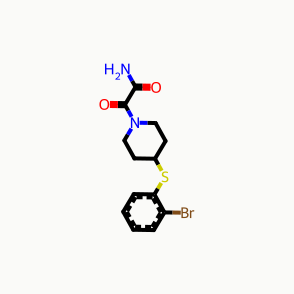 NC(=O)C(=O)N1CCC(Sc2ccccc2Br)CC1